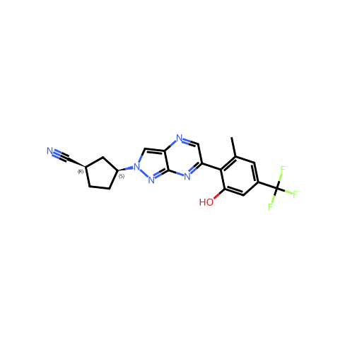 Cc1cc(C(F)(F)F)cc(O)c1-c1cnc2cn([C@H]3CC[C@@H](C#N)C3)nc2n1